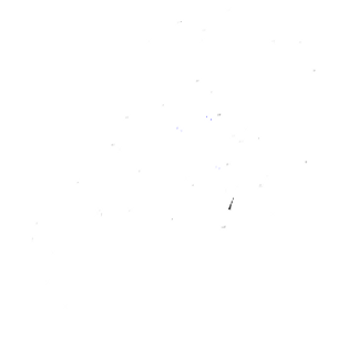 Cc1cccc(C)c1C(=O)Oc1c2n(ccc1=O)N([C@@H]1c3ccccc3SCc3cccc(Cl)c31)CN([C@H](C)C(F)(F)F)C2=O